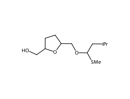 CSC(CC(C)C)OCC1CCC(CO)O1